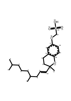 CC(C)CCCC(C)CC=CC1(C)CCc2cc(OCS(=O)(=O)O)ccc2O1